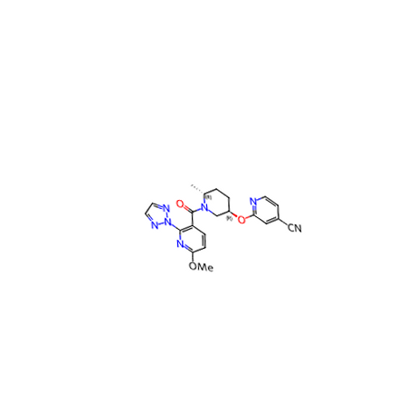 COc1ccc(C(=O)N2C[C@H](Oc3cc(C#N)ccn3)CC[C@H]2C)c(-n2nccn2)n1